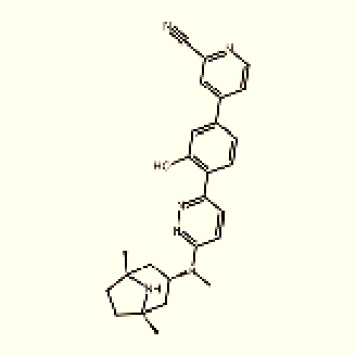 CN(c1ccc(-c2ccc(-c3ccnc(C#N)c3)cc2O)nn1)[C@H]1C[C@]2(C)CC[C@](C)(C1)N2